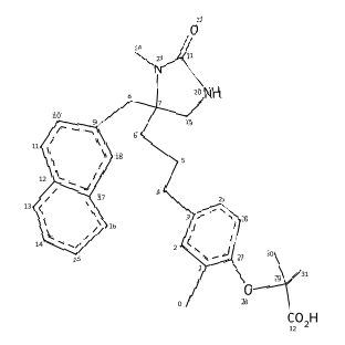 Cc1cc(CCCC2(Cc3ccc4ccccc4c3)CNC(=O)N2C)ccc1OC(C)(C)C(=O)O